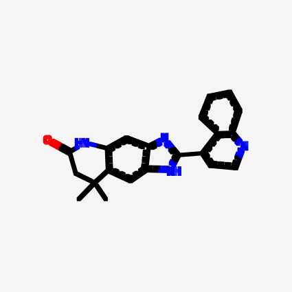 CC1(C)CC(=O)Nc2cc3nc(-c4ccnc5ccccc45)[nH]c3cc21